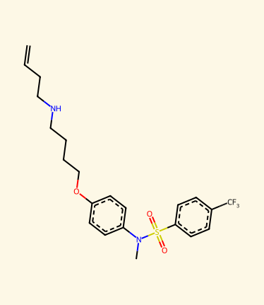 C=CCCNCCCCOc1ccc(N(C)S(=O)(=O)c2ccc(C(F)(F)F)cc2)cc1